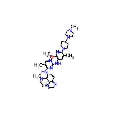 COc1nc(N2CCC(N3CCN(C)CC3)CC2)c(C)cc1Nc1ncc(C)c(Nc2ccc3nccnc3c2N(C)SC)n1